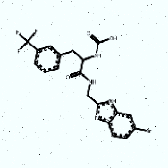 O=C(O)NC(Cc1cccc(C(F)(F)F)c1)C(=O)NCc1nc2ccc(Br)cc2[nH]1